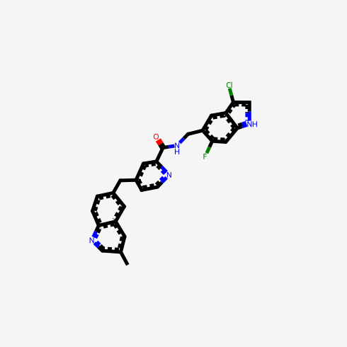 Cc1cnc2ccc(Cc3ccnc(C(=O)NCc4cc5c(Cl)c[nH]c5cc4F)c3)cc2c1